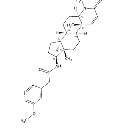 COc1cccc(CC(=O)N[C@H]2CC[C@H]3[C@@H]4CC[C@H]5N(C)C(=O)C=C[C@]5(C)[C@H]4CC[C@]23C)c1